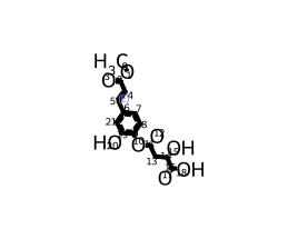 COC(=O)/C=C/c1ccc(OC(=O)CC(O)C(=O)O)c(O)c1